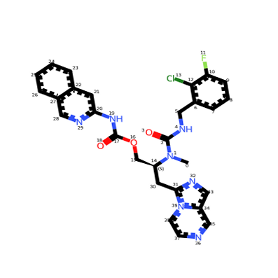 CN(C(=O)NCc1cccc(F)c1Cl)[C@H](COC(=O)Nc1cc2ccccc2cn1)Cc1ncc2cnccn12